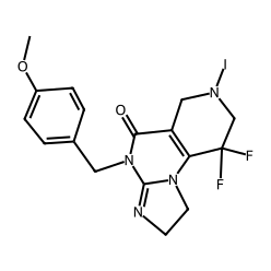 COc1ccc(CN2C(=O)C3=C(N4CCN=C24)C(F)(F)CN(I)C3)cc1